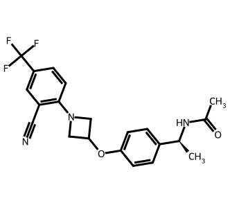 CC(=O)N[C@@H](C)c1ccc(OC2CN(c3ccc(C(F)(F)F)cc3C#N)C2)cc1